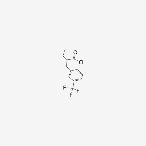 CCC(Cc1cccc(C(F)(F)F)c1)C(=O)Cl